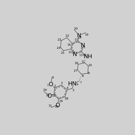 COc1cc(CNC[C@H]2CC[C@@H](Nc3nc4c(c(N(C)C)n3)CCCC4)CC2)cc(OC)c1OC